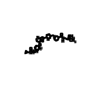 CN(C)CCNC(=O)C1CCCN(Cc2ccc(-c3cc4nccc(Oc5ccc(NC(=O)NC6CC6)cc5F)c4s3)nc2)C1